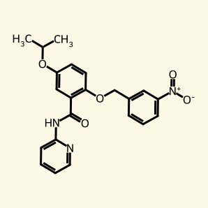 CC(C)Oc1ccc(OCc2cccc([N+](=O)[O-])c2)c(C(=O)Nc2ccccn2)c1